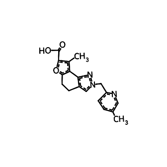 Cc1ccc(Cn2cc3c(n2)-c2c(oc(C(=O)O)c2C)CC3)nc1